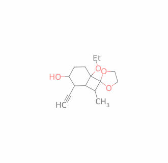 C#CC1C(O)CCC2(OCC)C1C(C)C21OCCO1